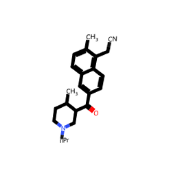 CCCN1CCC(C)C(C(=O)c2ccc3c(CC#N)c(C)ccc3c2)C1